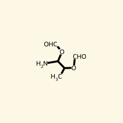 CC(OC=O)C(N)OC=O